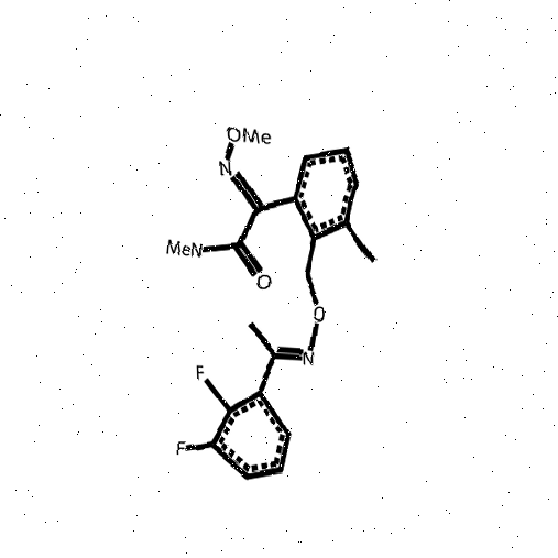 CNC(=O)/C(=N/OC)c1cccc(C)c1CO/N=C(\C)c1cccc(F)c1F